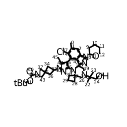 Cc1cc2c(cnn2C2CCCCO2)c(-c2c(N3CCN(C(C)(C)CO)CC34CCC4)nn(C3CC4(C3)CN(C(=O)OC(C)(C)C)C4)c2C)c1Cl